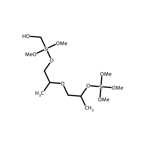 CO[Si](CO)(OC)OCC(C)OCC(C)O[Si](OC)(OC)OC